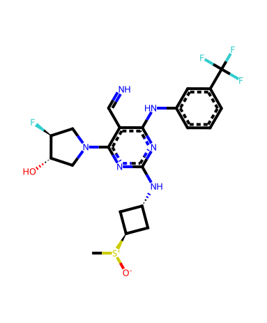 C[S+]([O-])[C@H]1C[C@H](Nc2nc(Nc3cccc(C(F)(F)F)c3)c(C=N)c(N3C[C@H](O)[C@@H](F)C3)n2)C1